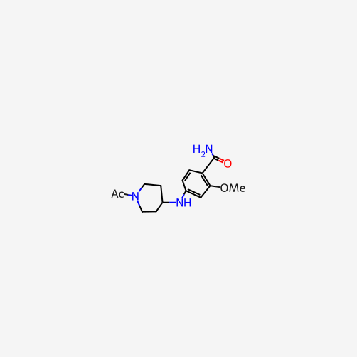 COc1cc(NC2CCN(C(C)=O)CC2)ccc1C(N)=O